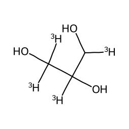 [3H]C(O)C([3H])(O)C([3H])([3H])O